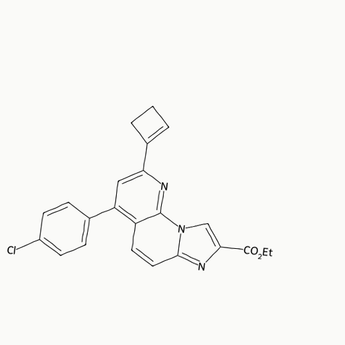 CCOC(=O)c1cn2c(ccc3c(-c4ccc(Cl)cc4)cc(C4=CCC4)nc32)n1